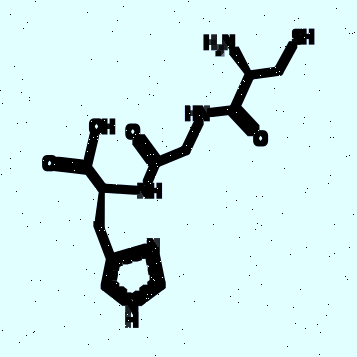 N[C@@H](CS)C(=O)NCC(=O)N[C@@H](Cc1c[nH]cn1)C(=O)O